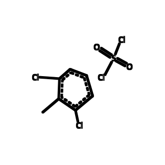 Cc1c(Cl)cccc1Cl.O=S(=O)(Cl)Cl